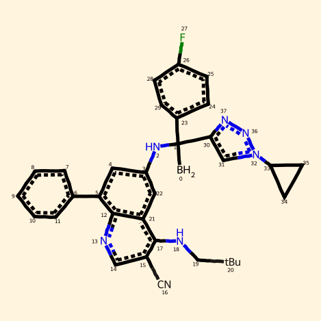 BC(Nc1cc(-c2ccccc2)c2ncc(C#N)c(NCC(C)(C)C)c2c1)(c1ccc(F)cc1)c1cn(C2CC2)nn1